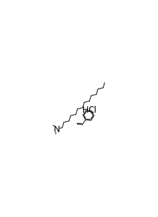 C=Cc1ccccc1.CCCCCCCCCCCCCCN(C)C.Cl